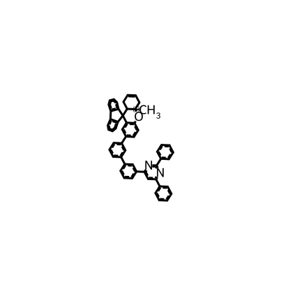 C[C@]12CC=CCC1C1(c3cc(-c4cccc(-c5cccc(-c6cc(-c7ccccc7)nc(-c7ccccc7)n6)c5)c4)ccc3O2)c2ccccc2-c2ccccc21